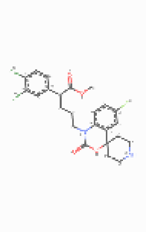 COC(=O)C(CCCN1C(=O)OC2(CCNCC2)c2cc(F)ccc21)c1ccc(Cl)c(Cl)c1